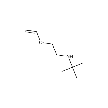 C=COCCNC(C)(C)C